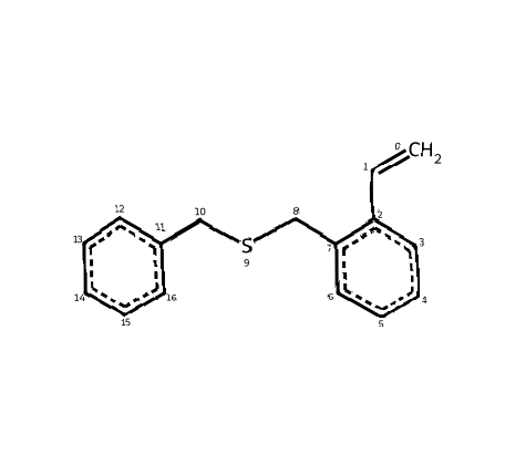 C=Cc1ccccc1CSCc1ccccc1